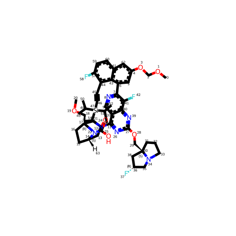 COCOc1cc(-c2ncc3c(N4C[C@@H]5CC[C@](COC)(C4)N5C(=O)O)nc(OC[C@@]45CCCN4C[C@H](F)C5)nc3c2F)c2c(C#C[Si](C(C)C)(C(C)C)C(C)C)c(F)ccc2c1